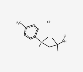 CC(C)(C[N+](C)(C)c1ccc(C(F)(F)F)cn1)NCl.[Cl-]